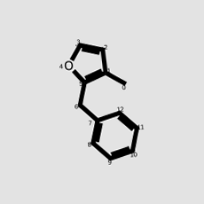 Cc1c[c]oc1Cc1ccccc1